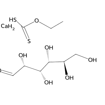 CCOC(=S)S.O=C[C@H](O)[C@@H](O)[C@H](O)[C@H](O)CO.[CaH2]